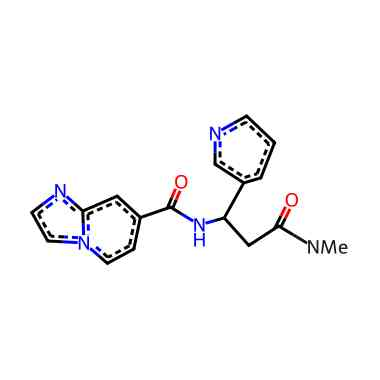 CNC(=O)CC(NC(=O)c1ccn2ccnc2c1)c1cccnc1